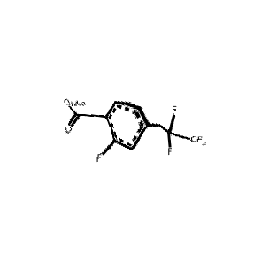 COC(=O)c1ccc(C(F)(F)C(F)(F)F)cc1F